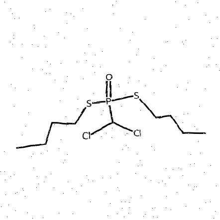 CCCCSP(=O)(SCCCC)C(Cl)Cl